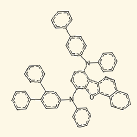 c1ccc(-c2ccc(N(c3ccccc3)c3ccc(N(c4ccccc4)c4ccc(-c5ccccc5)c(-c5ccccc5)c4)c4oc5c6ccccc6ccc5c34)cc2)cc1